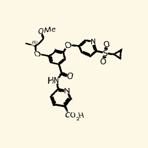 COC[C@H](C)Oc1cc(Oc2ccc(S(=O)(=O)C3CC3)nc2)cc(C(=O)Nc2ccc(C(=O)O)cn2)c1